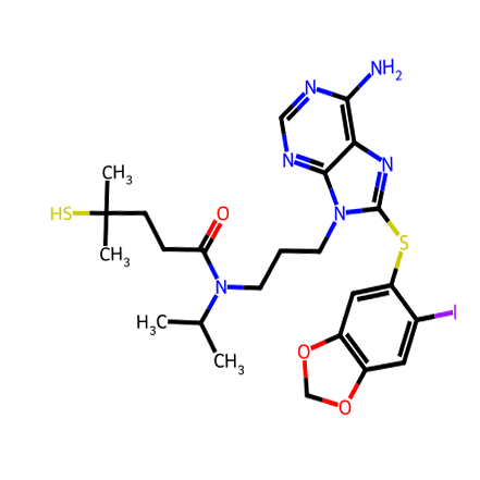 CC(C)N(CCCn1c(Sc2cc3c(cc2I)OCO3)nc2c(N)ncnc21)C(=O)CCC(C)(C)S